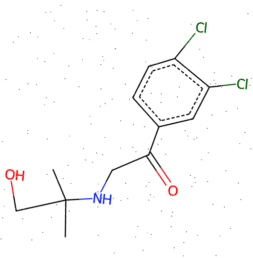 CC(C)(CO)NCC(=O)c1ccc(Cl)c(Cl)c1